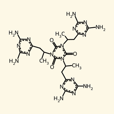 CC(Cc1nc(N)nc(N)n1)n1c(=O)n(C(C)Cc2nc(N)nc(N)n2)c(=O)n(C(C)Cc2nc(N)nc(N)n2)c1=O